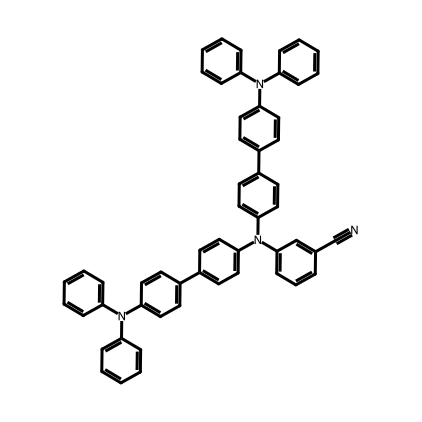 N#Cc1cccc(N(c2ccc(-c3ccc(N(c4ccccc4)c4ccccc4)cc3)cc2)c2ccc(-c3ccc(N(c4ccccc4)c4ccccc4)cc3)cc2)c1